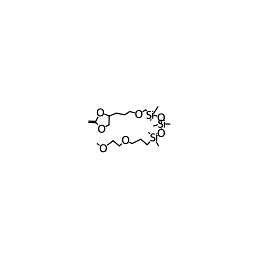 C=C1OCC(CCCOC[Si](C)(C)O[Si](C)(C)O[Si](C)(C)CCCOCCOC)O1